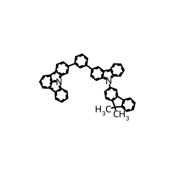 CC1(C)c2ccccc2-c2cc(-n3c4ccccc4c4cc(-c5cccc(-c6ccc7c8cccc9c%10ccccc%10n(c7c6)c98)c5)ccc43)ccc21